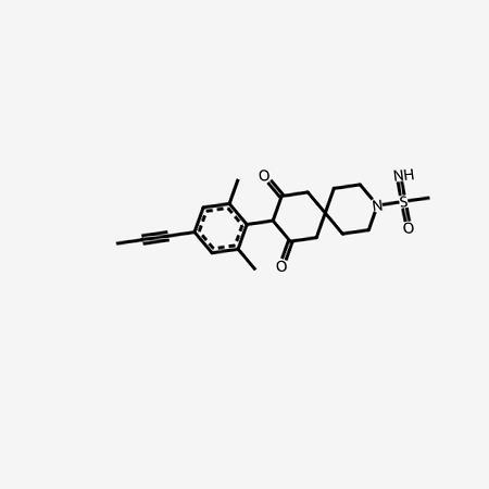 CC#Cc1cc(C)c(C2C(=O)CC3(CCN(S(C)(=N)=O)CC3)CC2=O)c(C)c1